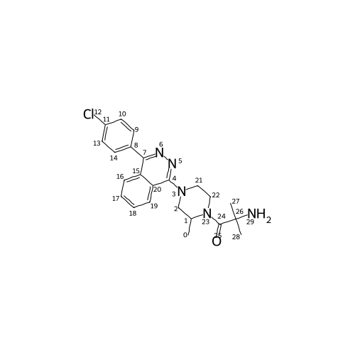 CC1CN(c2nnc(-c3ccc(Cl)cc3)c3ccccc23)CCN1C(=O)C(C)(C)N